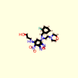 O=[N+]([O-])c1c(NCCCO)cc(N(CCN2CCOCC2)Cc2ccccc2F)c2nonc12